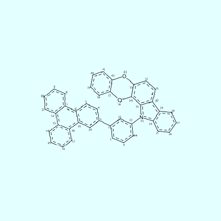 c1cc(-c2ccc3c4ccccc4c4ccccc4c3c2)cc(-n2c3ccccc3c3ccc4c(c32)Oc2ccccc2O4)c1